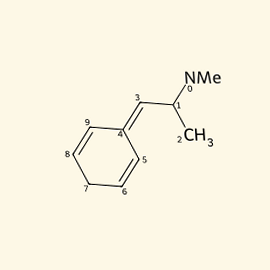 CNC(C)C=C1C=CCC=C1